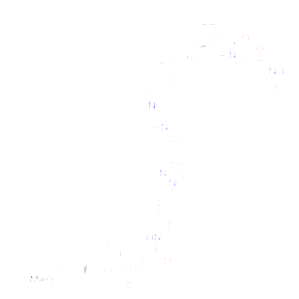 COc1ccc(COc2c(F)cc(C(=O)NCC3CCC(n4cc5ccc(N6CCN(Cc7ccc(COc8cccc9c8CN(C8CCC(=O)NC8=O)C9=O)cc7)CC6)cc5n4)CC3)cc2F)cc1